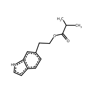 CC(C)C(=O)OCCc1ccc2cc[nH]c2c1